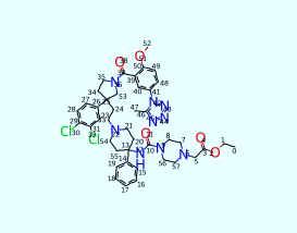 CCOC(=O)CN1CCN(C(=O)NC2(c3ccccc3)CCN(CCC3(c4ccc(Cl)c(Cl)c4)CCN(C(=O)c4cc(-n5nnnc5C)ccc4OC)C3)CC2)CC1